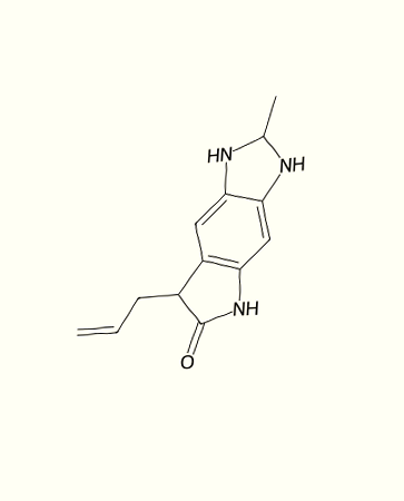 C=CCC1C(=O)Nc2cc3c(cc21)NC(C)N3